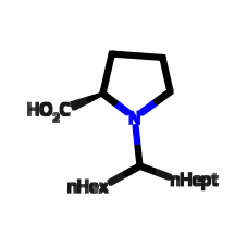 CCCCCCCC(CCCCCC)N1CCC[C@@H]1C(=O)O